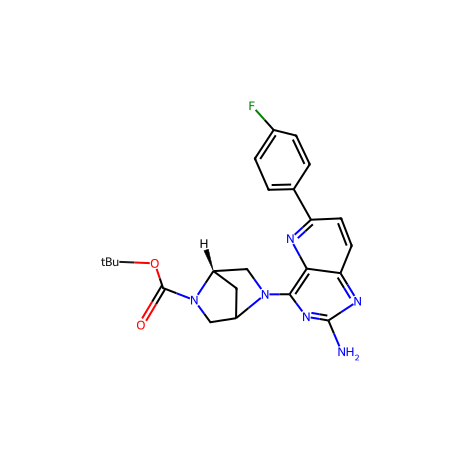 CC(C)(C)OC(=O)N1CC2C[C@H]1CN2c1nc(N)nc2ccc(-c3ccc(F)cc3)nc12